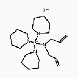 C=CCN(CC=C)[P+](N1CCCCC1)(N1CCCCC1)N1CCCCC1.[Br-]